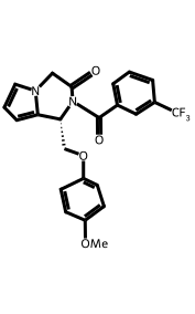 COc1ccc(OC[C@@H]2c3cccn3CC(=O)N2C(=O)c2cccc(C(F)(F)F)c2)cc1